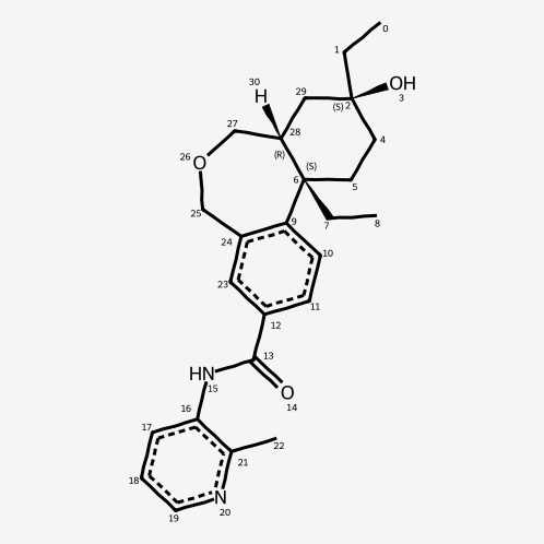 CC[C@]1(O)CC[C@]2(CC)c3ccc(C(=O)Nc4cccnc4C)cc3COC[C@@H]2C1